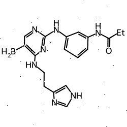 Bc1cnc(Nc2cccc(NC(=O)CC)c2)nc1NCCc1c[nH]cn1